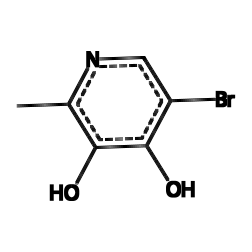 Cc1ncc(Br)c(O)c1O